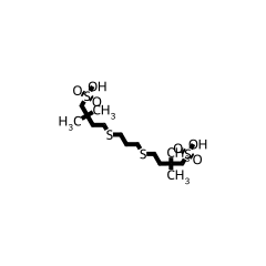 CC(C)(CCSCCCSCCC(C)(C)CS(=O)(=O)O)CS(=O)(=O)O